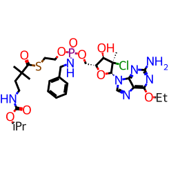 CCOc1nc(N)nc2c1ncn2[C@@H]1O[C@H](COP(=O)(NCc2ccccc2)OCCSC(=O)C(C)(C)CCNC(=O)OC(C)C)[C@@H](O)[C@@]1(C)Cl